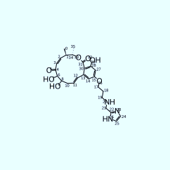 C[C@@H]1/C=C\C(=O)C(O)C(O)C/C=C/c2cc(OCCCNCc3ncc[nH]3)cc(O)c2C(=O)O[C@H]1C